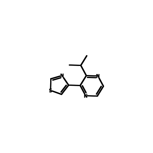 CC(C)c1nccnc1-c1cscn1